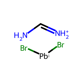 NC=[NH2+].[Br][Pb][Br]